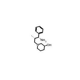 C[C@@H](CN1CCC[C@H](O)C1)[C@@H](N)c1ccccc1